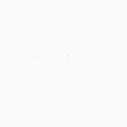 CCC1Cc2nc3c(NC(=O)OCCSSc4ccccn4)nc4ccccc4c3n2CC1(C)CO